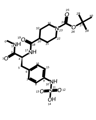 CNC(=O)[C@H](Cc1ccc(NS(=O)(=O)O)cc1)NC(=O)C1CCN(C(=O)OC(C)(C)C)CC1